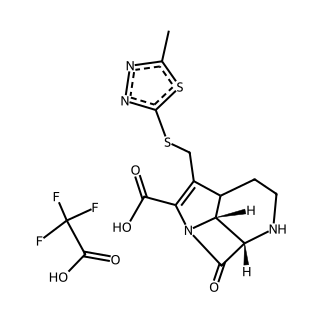 Cc1nnc(SCC2=C(C(=O)O)N3C(=O)[C@H]4NCCC2[C@H]43)s1.O=C(O)C(F)(F)F